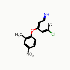 CC/C(Cl)=C\C(=C/C=N)Oc1ccc([N+](=O)[O-])cc1C